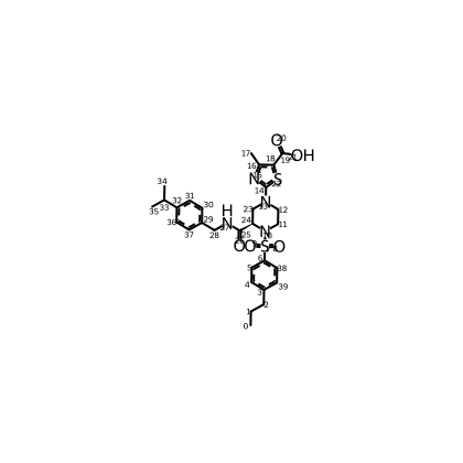 CCCc1ccc(S(=O)(=O)N2CCN(c3nc(C)c(C(=O)O)s3)C[C@@H]2C(=O)NCc2ccc(C(C)C)cc2)cc1